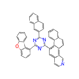 c1ccc2cc(-c3nc(-c4cccc5oc6ccccc6c45)nc(-c4cc5ccncc5c5ccc6ccccc6c45)n3)ccc2c1